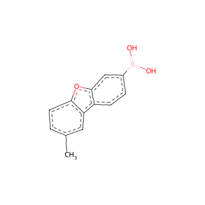 Cc1ccc2oc3cc(B(O)O)ccc3c2c1